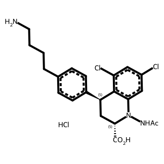 CC(=O)NN1c2cc(Cl)cc(Cl)c2[C@H](c2ccc(CCCCN)cc2)C[C@H]1C(=O)O.Cl